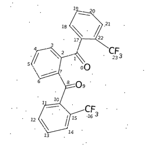 O=C(c1ccccc1C(=O)c1ccccc1C(F)(F)F)c1ccccc1C(F)(F)F